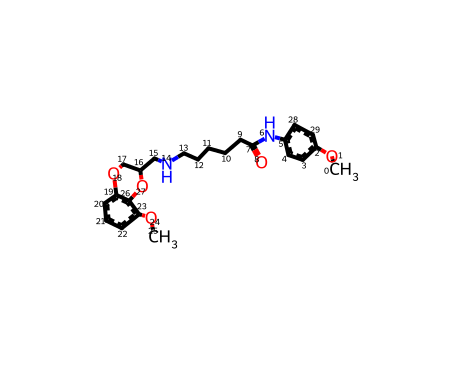 COc1ccc(NC(=O)CCCCCNCC2COc3cccc(OC)c3O2)cc1